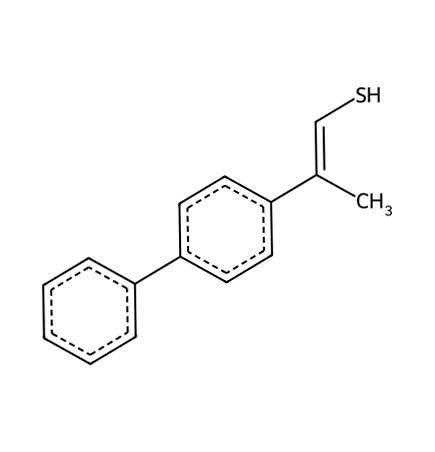 CC(=CS)c1ccc(-c2ccccc2)cc1